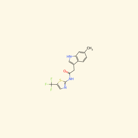 Cc1ccc2c(CC(=O)Nc3ncc(C(F)(F)F)s3)c[nH]c2c1